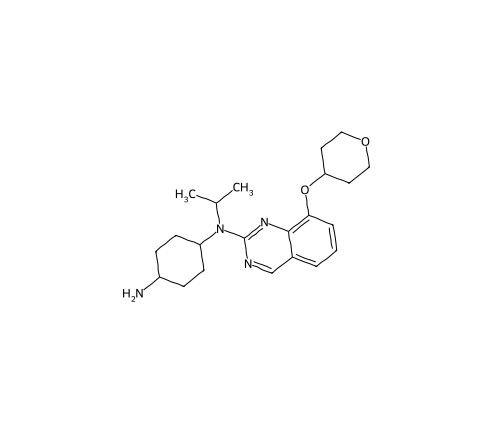 CC(C)N(c1ncc2cccc(OC3CCOCC3)c2n1)C1CCC(N)CC1